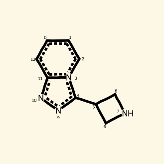 c1ccn2c(C3CNC3)nnc2c1